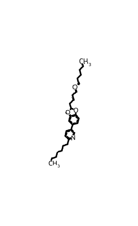 CCCCCCCc1ccc(-c2ccc3c(c2)OC(CCCCOCCCCCC)O3)cn1